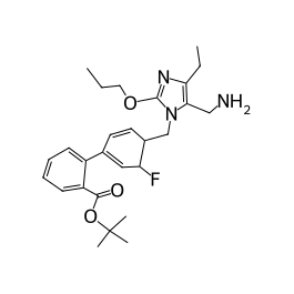 CCCOc1nc(CC)c(CN)n1CC1C=CC(c2ccccc2C(=O)OC(C)(C)C)=CC1F